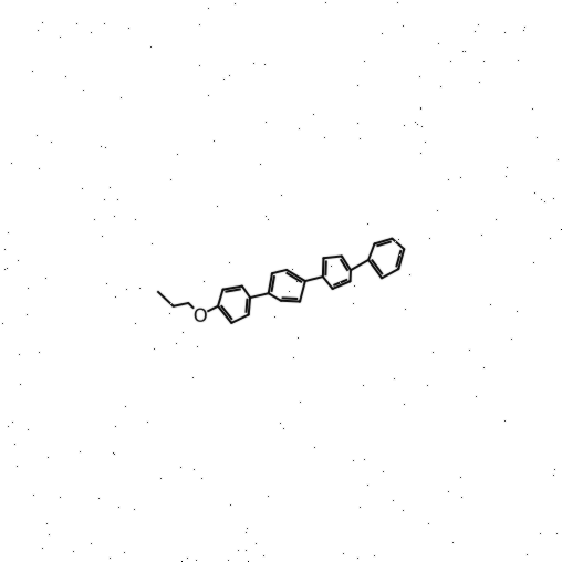 CCCOc1ccc(-c2ccc(-c3ccc(-c4ccccc4)cc3)cc2)cc1